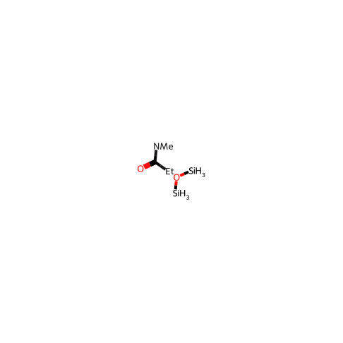 CCC(=O)NC.[SiH3]O[SiH3]